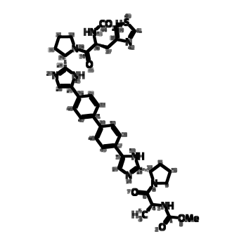 COC(=O)N[C@@H](C)C(=O)N1CCC[C@H]1c1ncc(-c2ccc(-c3ccc(-c4cnc([C@@H]5CCCN5C(=O)[C@H](Cc5cscn5)NC(=O)O)[nH]4)cc3)cc2)[nH]1